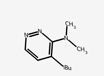 CCC(C)c1ccnnc1N(C)C